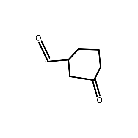 O=[C]C1CCCC(=O)C1